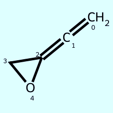 C=C=C1CO1